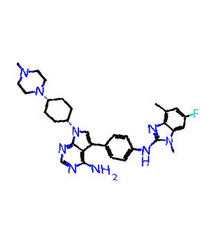 Cc1cc(F)cc2c1nc(Nc1ccc(-c3cn([C@H]4CC[C@@H](N5CCN(C)CC5)CC4)c4ncnc(N)c34)cc1)n2C